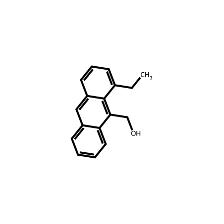 CCc1cccc2cc3ccccc3c(CO)c12